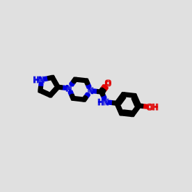 O=C(Nc1ccc(O)cc1)N1CCN(C2CCNC2)CC1